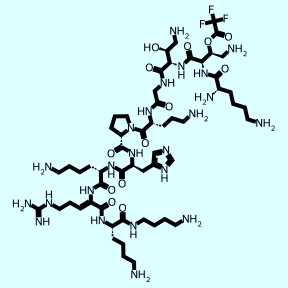 N=C(N)NCC/C=C(\NC(=O)[C@H](CCCCN)NC(=O)[C@H](Cc1cnc[nH]1)NC(=O)[C@@H]1CCCN1C(=O)[C@@H](CCCN)NC(=O)CNC(=O)[C@@H](NC(=O)[C@@H](NC(=O)[C@@H](N)CCCCN)[C@H](CN)OC(=O)C(F)(F)F)[C@@H](O)CN)C(=O)N[C@@H](CCCCN)C(=O)NCCCCN